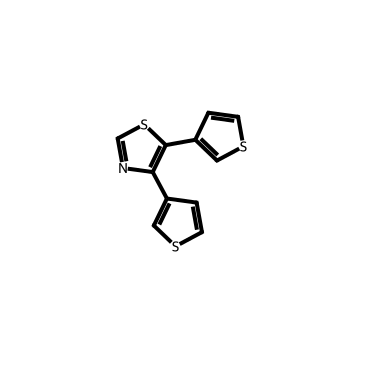 c1cc(-c2ncsc2-c2ccsc2)cs1